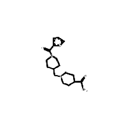 NC(=O)C1CCN(CC2CCN(C(=O)c3cccs3)CC2)CC1